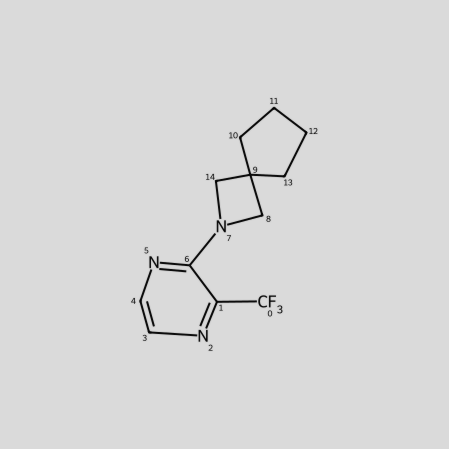 FC(F)(F)c1nccnc1N1CC2(CCCC2)C1